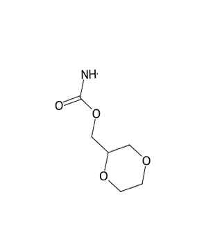 [NH]C(=O)OCC1COCCO1